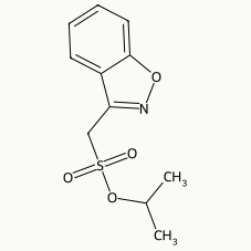 CC(C)OS(=O)(=O)Cc1noc2ccccc12